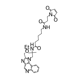 CCOCc1nc2cnc3ccccc3c2n1CC(C)(C)NC(=O)CCCCCNC(=O)CCN1C(=O)C=CC1=O